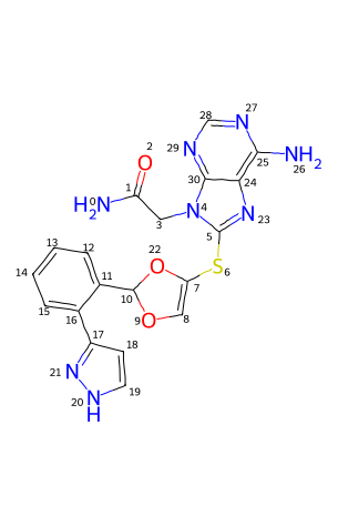 NC(=O)Cn1c(SC2=COC(c3ccccc3-c3cc[nH]n3)O2)nc2c(N)ncnc21